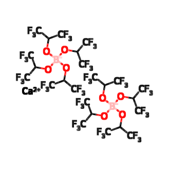 FC(F)(F)C(O[B-](OC(C(F)(F)F)C(F)(F)F)(OC(C(F)(F)F)C(F)(F)F)OC(C(F)(F)F)C(F)(F)F)C(F)(F)F.FC(F)(F)C(O[B-](OC(C(F)(F)F)C(F)(F)F)(OC(C(F)(F)F)C(F)(F)F)OC(C(F)(F)F)C(F)(F)F)C(F)(F)F.[Ca+2]